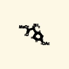 BC(C(=O)OC)c1ccc(OC(C)=O)cc1